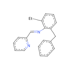 CCc1cccc(Cc2ccccc2)c1N=Cc1ccccn1